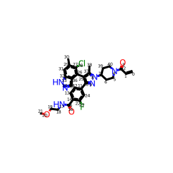 C=CC(=O)N1CCC(n2nc(-c3ccc(C(=O)NCCOC)c(F)c3)c(-c3c(Cl)c(C)cc4[nH]ncc34)c2C)CC1